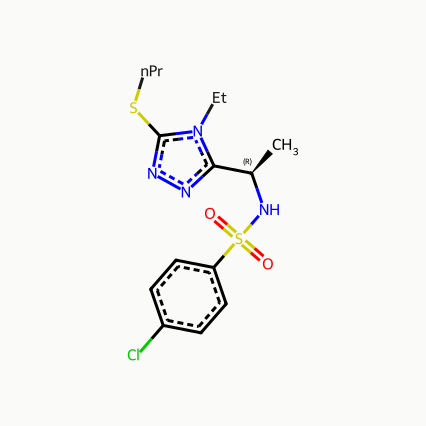 CCCSc1nnc([C@@H](C)NS(=O)(=O)c2ccc(Cl)cc2)n1CC